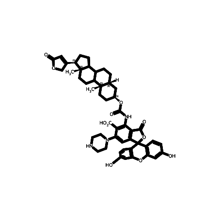 C[C@]12CCC3C(CC[C@@H]4C[C@@H](OC(=O)Nc5c(C(=O)O)c(N6CCNCC6)cc6c5C(=O)OC65c6ccc(O)cc6Oc6cc(O)ccc65)CC[C@]34C)C1CC[C@@H]2C1=CC(=O)OC1